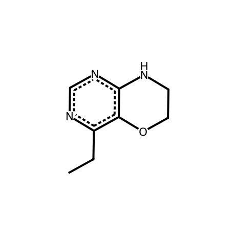 CCc1ncnc2c1OCCN2